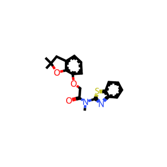 CN(C(=O)COc1cccc2c1OC(C)(C)C2)c1nc2ccccc2s1